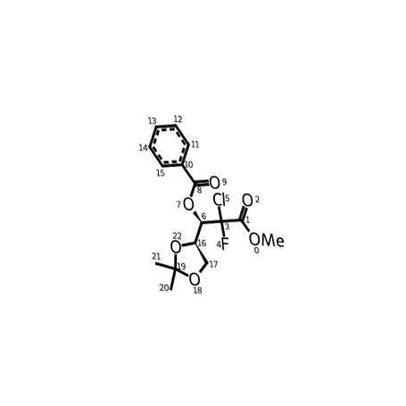 COC(=O)C(F)(Cl)[C@H](OC(=O)c1ccccc1)[C@H]1COC(C)(C)O1